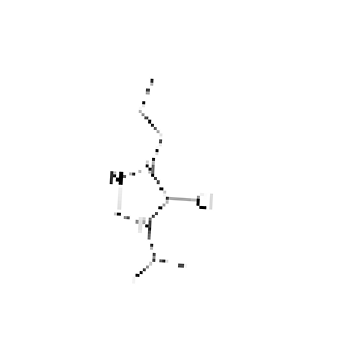 CCCN1N=CN(C(C)C)C1Cl